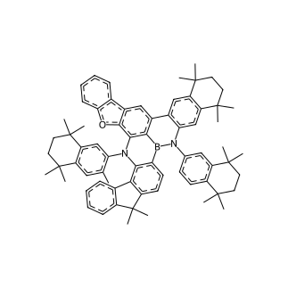 Cc1cc2c(cc1N1c3c(ccc4c3-c3ccccc3C4(C)C)B3c4c(cc5c(oc6ccccc65)c41)-c1cc4c(cc1N3c1ccc3c(c1)C(C)(C)CCC3(C)C)C(C)(C)CCC4(C)C)C(C)(C)CCC2(C)C